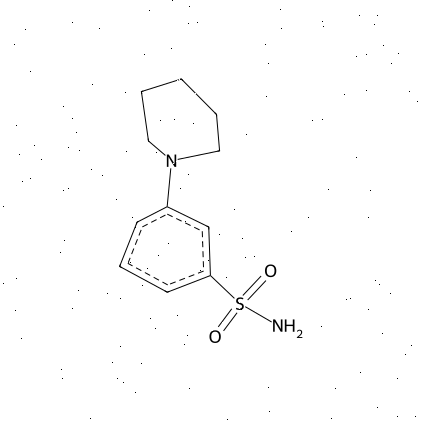 NS(=O)(=O)c1cccc(N2CCCCC2)c1